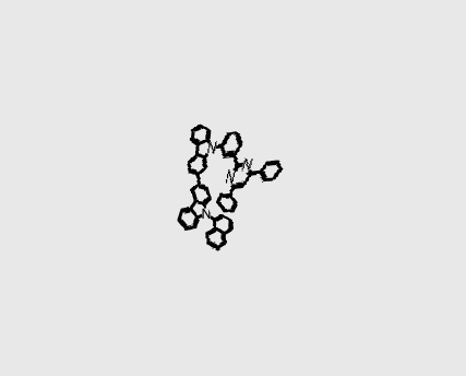 c1ccc(-c2cc(-c3ccccc3)nc(-c3cccc(-n4c5ccccc5c5ccc(-c6ccc7c(c6)c6ccccc6n7-c6cccc7ccccc67)cc54)c3)n2)cc1